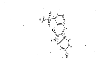 NS(=O)(=O)c1cccc(C=C2C(=O)Nc3cc(Cl)ccc32)c1